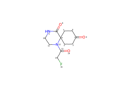 O=C1CCC2(CC1)C(=O)NCCN2C(=O)CF